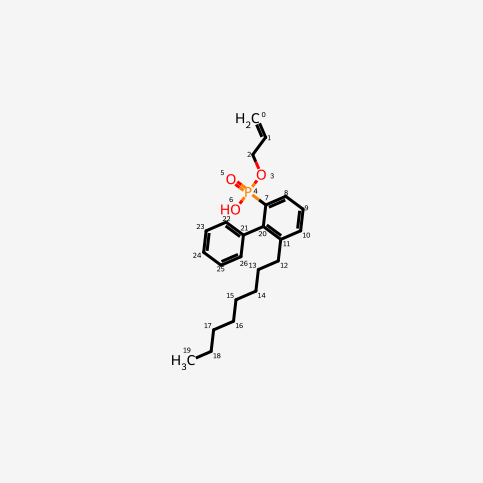 C=CCOP(=O)(O)c1cccc(CCCCCCCC)c1-c1ccccc1